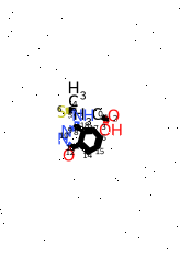 CC(=O)O.CC(=S)NC1N=NC(=O)c2ccccc21